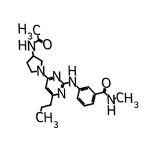 CCCc1cc(N2CCC(NC(C)=O)C2)nc(Nc2cccc(C(=O)NC)c2)n1